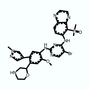 COc1cc(C2CNCCO2)c(-c2cnn(C)c2)cc1Nc1ncc(Br)c(Nc2ccc3nccnc3c2P(C)(C)=O)n1